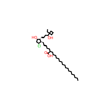 CCCCCCCCCCCCCCCCCCC(CCC=CC[C@@H]1[C@@H](C=CC[C@H](O)C2(CC)CCC2)[C@H](O)C[C@H]1Cl)C(=O)O